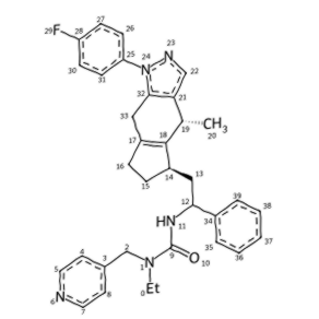 CCN(Cc1ccncc1)C(=O)NC(C[C@H]1CCC2=C1[C@@H](C)c1cnn(-c3ccc(F)cc3)c1C2)c1ccccc1